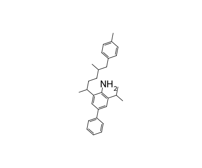 Cc1ccc(CC(C)CCC(C)c2cc(-c3ccccc3)cc(C(C)C)c2N)cc1